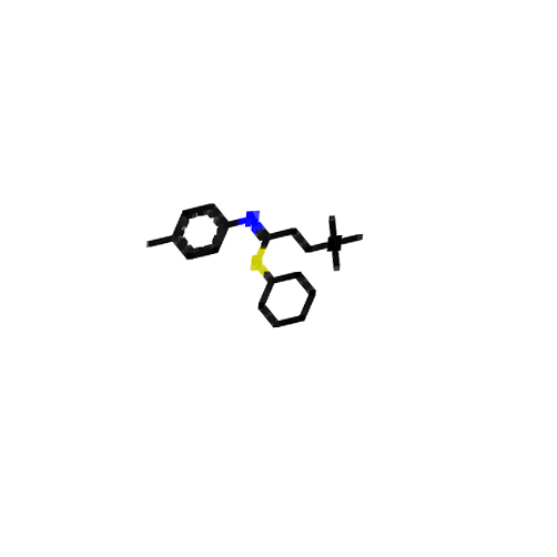 Cc1ccc(N=C(CC[Si](C)(C)C)SC2CCCCC2)cc1